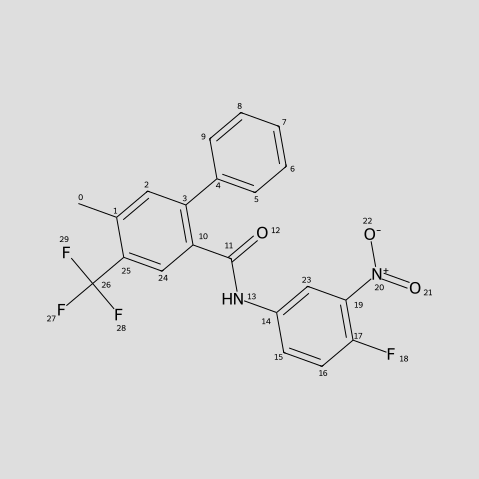 Cc1cc(-c2ccccc2)c(C(=O)Nc2ccc(F)c([N+](=O)[O-])c2)cc1C(F)(F)F